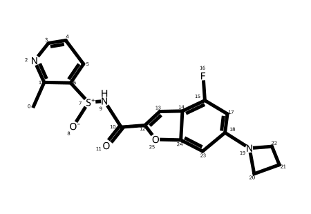 Cc1ncccc1[S+]([O-])NC(=O)c1cc2c(F)cc(N3CCC3)cc2o1